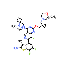 C[C@@H]1CN(CC2(COc3nc(NCC4(N(C)C)CCC4)c4cnc(C5=CC(F)=C(F)C6SC(N)=C(C#N)C56)c(F)c4n3)CC2)CCO1